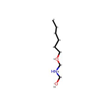 CCCCCCOCNC[O]